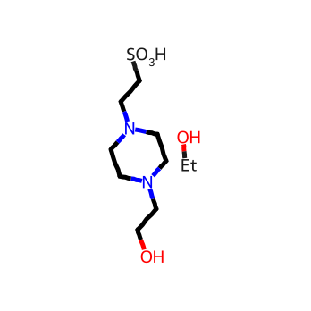 CCO.O=S(=O)(O)CCN1CCN(CCO)CC1